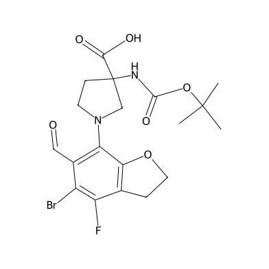 CC(C)(C)OC(=O)NC1(C(=O)O)CCN(c2c(C=O)c(Br)c(F)c3c2OCC3)C1